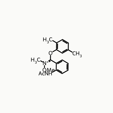 CO/[N+](C)=C(/Oc1cc(C)ccc1C)c1ccccc1NC(C)=O